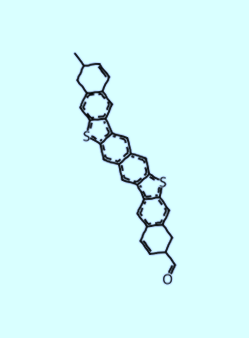 CC1C=Cc2cc3c(cc2C1)sc1cc2cc4c(cc2cc13)sc1cc2c(cc14)C=CC(C=O)C2